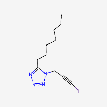 CCCCCCCc1nnnn1CC#CI